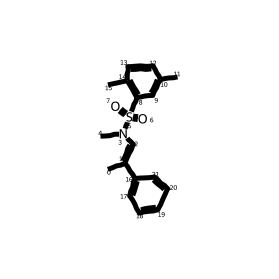 C/C(=C\N(C)S(=O)(=O)c1cc(C)ccc1C)c1ccccc1